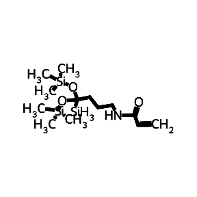 C=CC(=O)NCCCC([SiH3])(O[Si](C)(C)C)O[Si](C)(C)C